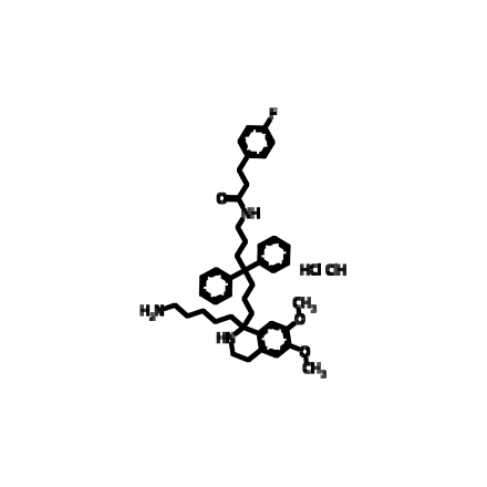 COc1cc2c(cc1OC)C(CCCCCN)(CCCC(CCCNC(=O)CCc1ccc(F)cc1)(c1ccccc1)c1ccccc1)NCC2.Cl.Cl